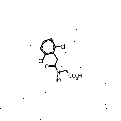 CC(C)N(CC(=O)O)C(=O)Cc1c(Cl)cccc1Cl